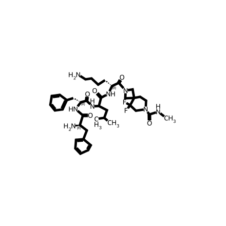 CNC(=O)N1CCC2(CN(C(=O)[C@@H](CCCCN)NC(=O)C(CC(C)C)NC(=O)[C@@H](Cc3ccccc3)NC(=O)[C@H](N)Cc3ccccc3)C2)C(F)(F)C1